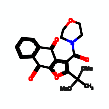 COC(C)(OC)c1oc2c(c1C(=O)N1CCOCC1)C(=O)c1ccccc1C2=O